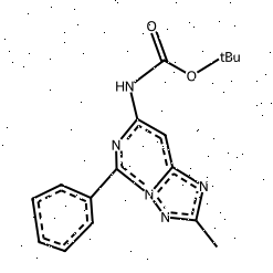 Cc1nc2cc(NC(=O)OC(C)(C)C)nc(-c3ccccc3)n2n1